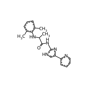 Cc1cccc(C)c1NC(C)C(=O)Nc1nc(-c2ccccn2)c[nH]1